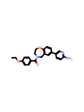 CCOc1ccc(C(=O)N2CCOc3ccc(-c4ccc(N)nc4)cc3C2)cc1